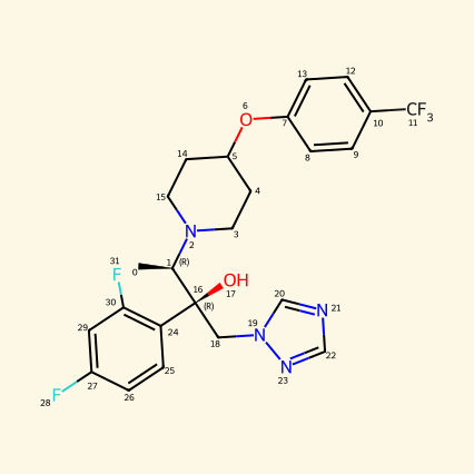 C[C@@H](N1CCC(Oc2ccc(C(F)(F)F)cc2)CC1)[C@](O)(Cn1cncn1)c1ccc(F)cc1F